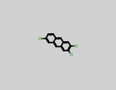 Clc1[c]cc2cc3cc(Cl)c(Cl)[c]c3cc2c1